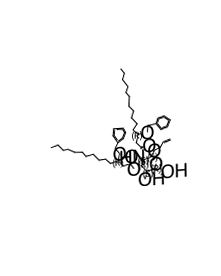 C=CCO[C@H]1O[C@H](CO)[C@@H](O)[C@H](OC(=O)C[C@@H](CCCCCCCCCCC)OCc2ccccc2)[C@@H]1NC(=O)C[C@@H](CCCCCCCCCCC)OCc1ccccc1